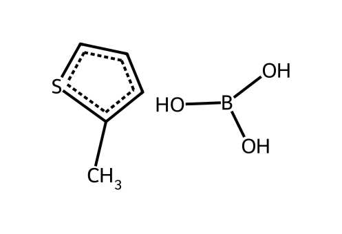 Cc1cccs1.OB(O)O